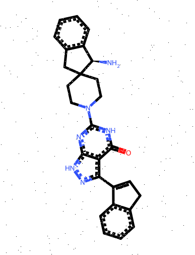 N[C@@H]1c2ccccc2CC12CCN(c1nc3[nH]nc(C4=CCc5ccccc54)c3c(=O)[nH]1)CC2